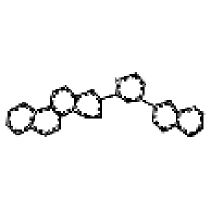 c1cnc2cc(-c3ccnc(-c4ccc5c(ccc6c7ccccc7ccc56)c4)c3)ccc2c1